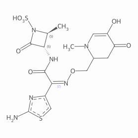 C[C@H]1[C@H](NC(=O)/C(=N\OCC2CC(=O)C(O)=CN2C)c2csc(N)n2)C(=O)N1S(=O)(=O)O